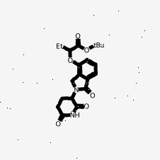 CCC(Oc1cccc2c1CN(C1CCC(=O)NC1=O)C2=O)C(=O)OC(C)(C)C